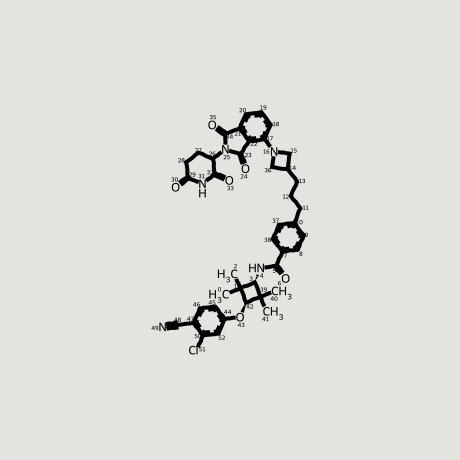 CC1(C)[C@H](NC(=O)c2ccc(CCCC3CN(c4cccc5c4C(=O)N(C4CCC(=O)NC4=O)C5=O)C3)cc2)C(C)(C)[C@H]1Oc1ccc(C#N)c(Cl)c1